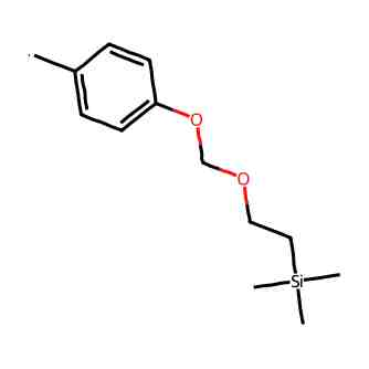 [CH2]c1ccc(OCOCC[Si](C)(C)C)cc1